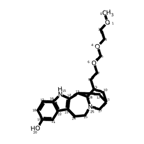 COCCOCOCCC1CC2CC3c4[nH]c5ccc(O)cc5c4CCN(C2)C13